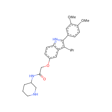 COc1ccc(-c2[nH]c3ccc(OCC(=O)NC4CCCNC4)cc3c2C(C)C)cc1OC